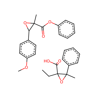 CCC1(C(=O)O)OC1(C)c1ccccc1.COc1ccc(C2OC2(C)C(=O)Oc2ccccc2)cc1